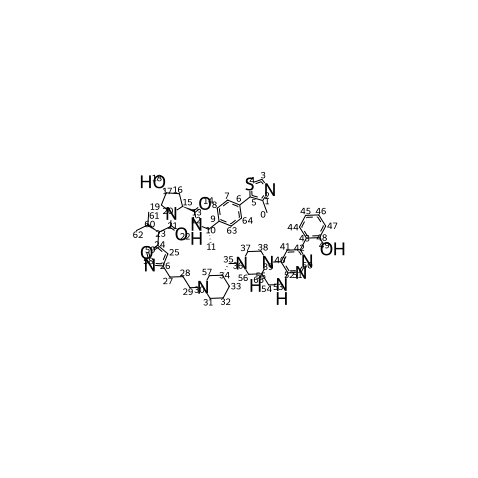 Cc1ncsc1-c1ccc([C@H](C)NC(=O)[C@@H]2C[C@@H](O)CN2C(=O)[C@@H](c2cc(CCCN3CCC[C@@H](CN4CCN5c6cc(-c7ccccc7O)nnc6NC[C@@H]5C4)C3)no2)C(C)C)cc1